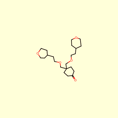 O=C1CCC(COCCC2CCOCC2)(COCCC2CCOCC2)CC1